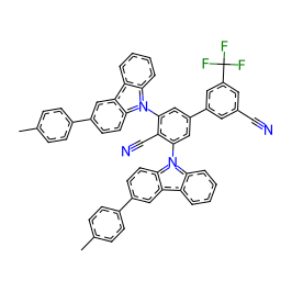 Cc1ccc(-c2ccc3c(c2)c2ccccc2n3-c2cc(-c3cc(C#N)cc(C(F)(F)F)c3)cc(-n3c4ccccc4c4cc(-c5ccc(C)cc5)ccc43)c2C#N)cc1